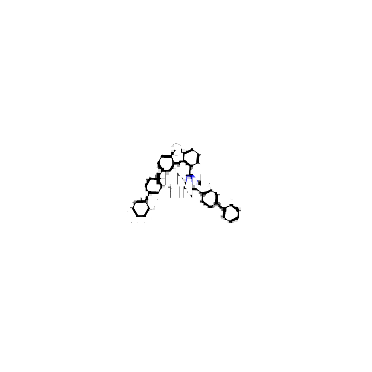 N=C(/N=C(\N)c1cccc2oc3ccc(-c4ccc(-c5ccccc5)cc4)cc3c12)c1ccc(-c2ccccc2)cc1